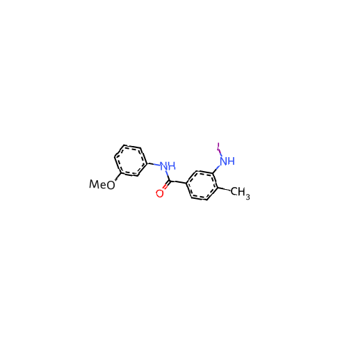 COc1cccc(NC(=O)c2ccc(C)c(NI)c2)c1